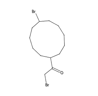 O=C(CBr)C1CCCCCC(Br)CCCC1